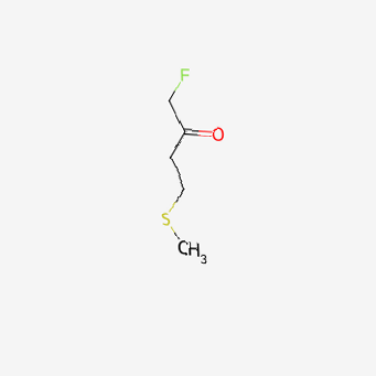 CSCCC(=O)CF